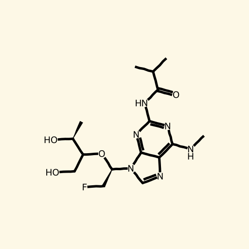 CNc1nc(NC(=O)C(C)C)nc2c1ncn2[C@@H](CF)OC(CO)[C@H](C)O